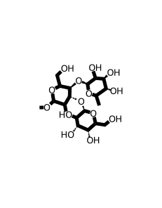 COC1OC(CO)[C@@H](O[C@@H]2OC(C)[C@@H](O)[C@H](O)C2O)[C@H](O[C@@H]2OC(CO)[C@H](O)[C@H](O)C2O)C1C